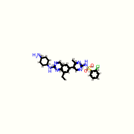 CCc1cc(-c2cnc(NS(=O)(=O)c3ccccc3Cl)nc2C)cc2cnc(NC3CCC(N)CC3)nc12